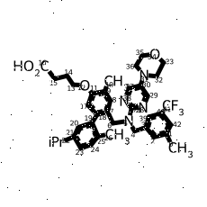 Cc1cc(CN(Cc2cc(C)c(OCCCC(=O)O)cc2-c2cc(C(C)C)ccc2C)c2ncc(N3CCOCC3)cn2)cc(C(F)(F)F)c1